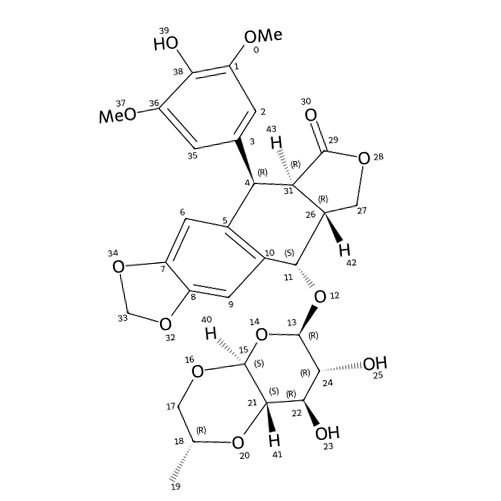 COc1cc([C@@H]2c3cc4c(cc3[C@@H](O[C@@H]3O[C@@H]5OC[C@@H](C)O[C@H]5[C@H](O)[C@H]3O)[C@H]3COC(=O)[C@H]23)OCO4)cc(OC)c1O